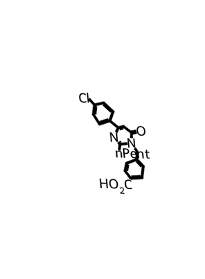 CCCCCc1nc(-c2ccc(Cl)cc2)cc(=O)n1Cc1ccc(C(=O)O)cc1